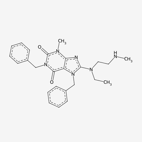 CCN(CCNC)c1nc2c(c(=O)n(Cc3ccccc3)c(=O)n2C)n1Cc1ccccc1